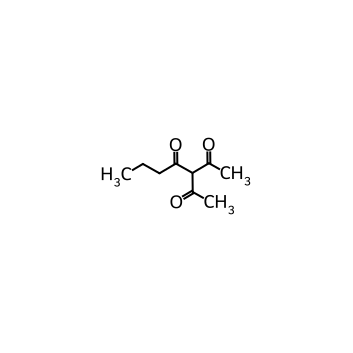 CCCC(=O)C(C(C)=O)C(C)=O